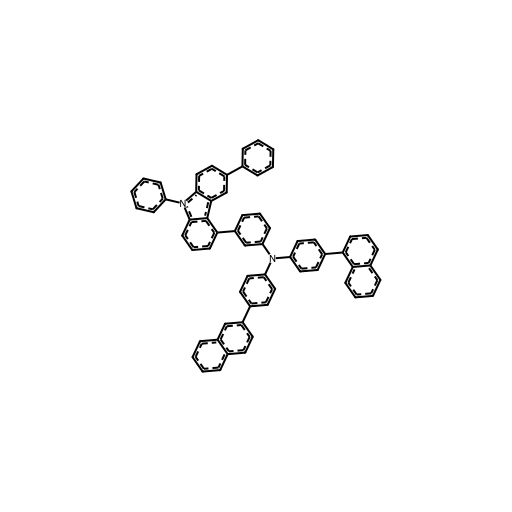 c1ccc(-c2ccc3c(c2)c2c(-c4cccc(N(c5ccc(-c6ccc7ccccc7c6)cc5)c5ccc(-c6cccc7ccccc67)cc5)c4)cccc2n3-c2ccccc2)cc1